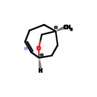 C[C@]12CC/C=C\[C@H](CC1)OC2